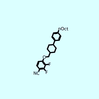 CCCCCCCCc1ccc(C2CCC(COc3ccc(C#N)c(F)c3F)CC2)cc1